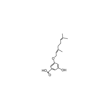 CC(C)=CCC/C(C)=C/COc1cc(O)cc(C(=O)O)c1